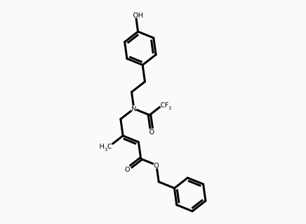 C/C(=C\C(=O)OCc1ccccc1)CN(CCc1ccc(O)cc1)C(=O)C(F)(F)F